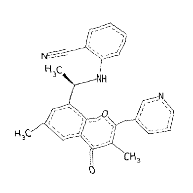 Cc1cc([C@@H](C)Nc2ccccc2C#N)c2oc(-c3cccnc3)c(C)c(=O)c2c1